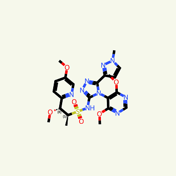 COc1ccc([C@@H](OC)[C@H](C)S(=O)(=O)Nc2nnc(-c3ccn(C)n3)n2-c2c(OC)ncnc2OC)nc1